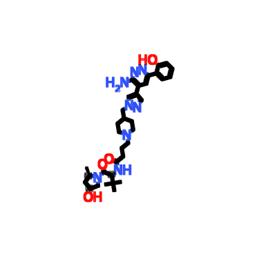 C[C@@H]1C[C@@H](O)CN1C(=O)[C@@H](NC(=O)CCCN1CCC(Cn2cc(-c3cc(-c4ccccc4O)nnc3N)cn2)CC1)C(C)(C)C